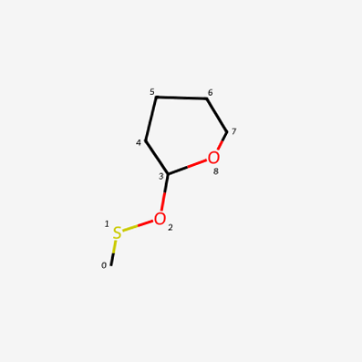 CSOC1CCCCO1